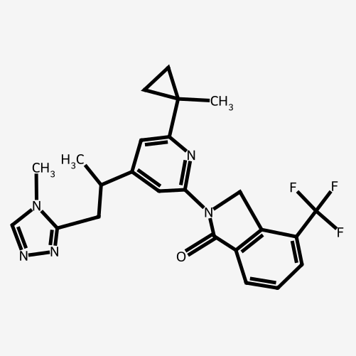 CC(Cc1nncn1C)c1cc(N2Cc3c(cccc3C(F)(F)F)C2=O)nc(C2(C)CC2)c1